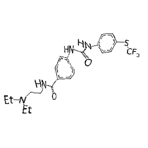 CCN(CC)CCNC(=O)c1ccc(NC(=O)Nc2ccc(SC(F)(F)F)cc2)cc1